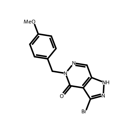 COc1ccc(Cn2ncc3[nH]nc(Br)c3c2=O)cc1